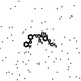 CCOc1ccc(C(C)(C)COCc2cccc(Oc3ccccc3F)c2)cc1